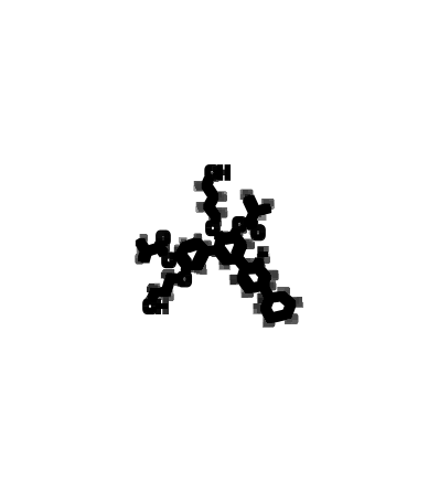 C=C(C)C(=O)Oc1ccc(-c2cc(-c3ccc(C4CCCCC4)cc3F)cc(OC(=O)C(=C)C)c2OCCCCO)cc1OCCCO